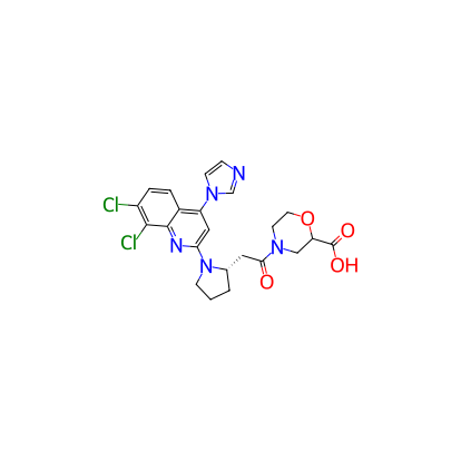 O=C(O)C1CN(C(=O)C[C@@H]2CCCN2c2cc(-n3ccnc3)c3ccc(Cl)c(Cl)c3n2)CCO1